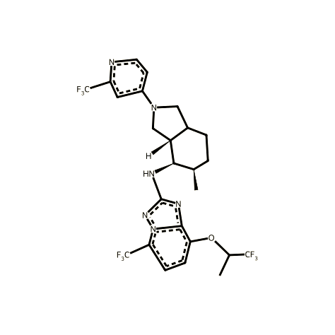 CC(Oc1ccc(C(F)(F)F)n2nc(N[C@@H]3[C@H](C)CCC4CN(c5ccnc(C(F)(F)F)c5)C[C@H]43)nc12)C(F)(F)F